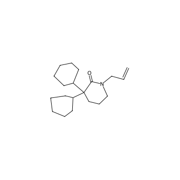 C=CCN1CCCC(C2CCCCC2)(C2CCCCC2)C1=O